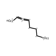 CCCCCCCCC=C=CCCCCCCCCCCC